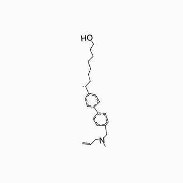 C=CCN(C)Cc1ccc(-c2ccc([CH]CCCCCCCO)cc2)cc1